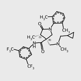 Cc1cccc(C)c1N1C[C@@](CN(C)CC2CC2)(C(=O)Nc2cc(C(F)(F)F)cc(C(F)(F)F)c2)[C@H](C)C1=O